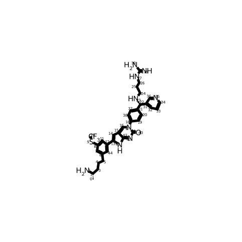 C[C@H](N)CCCc1cc(SC(F)(F)F)cc(-c2cc3cn(-c4ccc([C@@H](NCCCNC(=N)N)c5cccnc5)cc4)c(=O)nc3[nH]2)c1